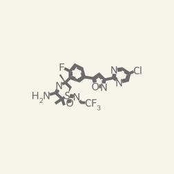 CC1(C)C(N)=N[C@](C)(c2cc(-c3cc(-c4ncc(Cl)cn4)no3)ccc2F)C[S@]1(=O)=NCC(F)(F)F